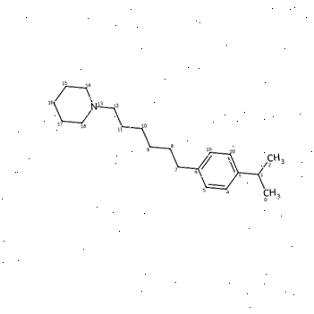 CC(C)c1ccc(CCCCCCN2CC[CH]CC2)cc1